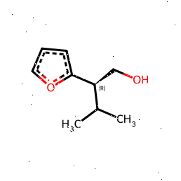 CC(C)[C@H](CO)c1ccco1